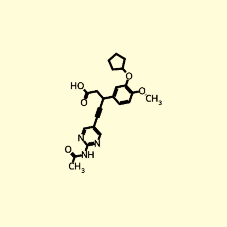 COc1ccc(C(C#Cc2cnc(NC(C)=O)nc2)CC(=O)O)cc1OC1CCCC1